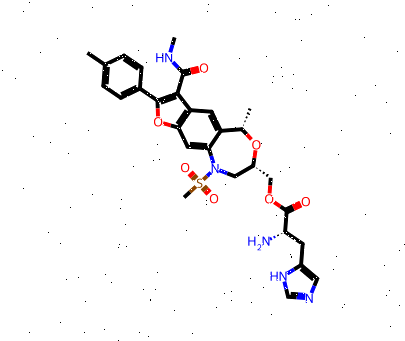 CNC(=O)c1c(-c2ccc(C)cc2)oc2cc3c(cc12)[C@H](C)O[C@H](COC(=O)[C@@H](N)Cc1cnc[nH]1)CN3S(C)(=O)=O